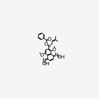 COc1cc([C@H](CC=C(C)C)OC(=O)c2ccccc2)c(OC)c2c1C(=NO)C=CC2=NO